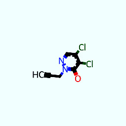 C#CCn1ncc(Cl)c(Cl)c1=O